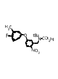 Cc1cc(Oc2ccc([N+](=O)[O-])c(CN(C(=O)O)C(C)(C)C)c2)ccc1F